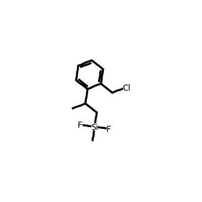 CC(C[Si](C)(F)F)c1ccccc1CCl